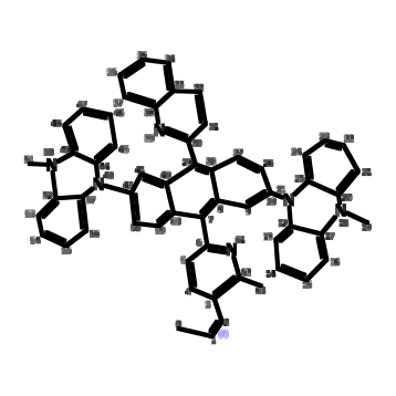 C/C=C\c1ccc(-c2c3cc(N4c5ccccc5N(C)c5ccccc54)ccc3c(-c3ccc4ccccc4n3)c3cc(N4c5ccccc5N(C)c5ccccc54)ccc23)nc1C